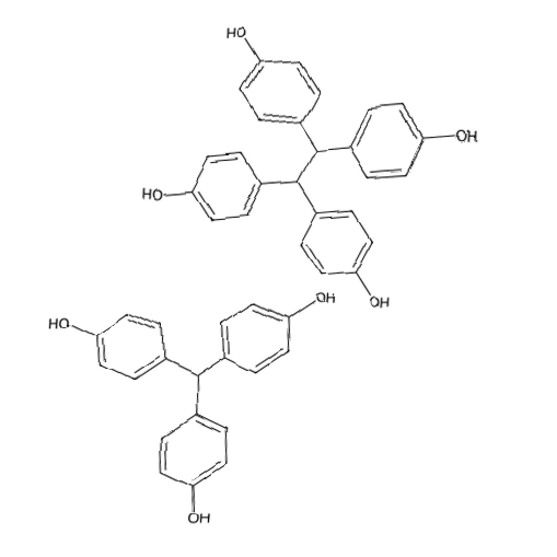 Oc1ccc(C(c2ccc(O)cc2)C(c2ccc(O)cc2)c2ccc(O)cc2)cc1.Oc1ccc(C(c2ccc(O)cc2)c2ccc(O)cc2)cc1